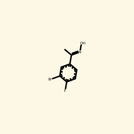 C/C(=N\O)c1ccc(F)c(Br)c1